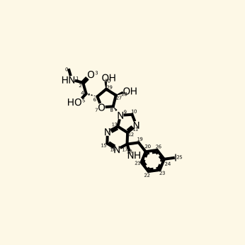 CNC(=O)C(O)[C@H]1O[C@@H](N2CN=C3C2=NC=NC3(N)Cc2cccc(I)c2)[C@H](O)[C@@H]1O